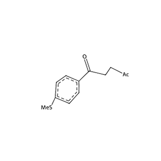 CSc1ccc(C(=O)CCC(C)=O)cc1